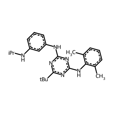 Cc1cccc(C)c1Nc1nc(Nc2cccc(NC(C)C)c2)nc(C(C)(C)C)n1